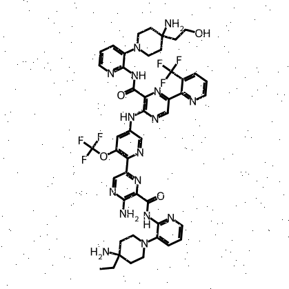 CCC1(N)CCN(c2cccnc2NC(=O)c2nc(-c3ncc(Nc4ncc(-c5ncccc5C(F)(F)F)nc4C(=O)Nc4ncccc4N4CCC(N)(CCO)CC4)cc3OC(F)(F)F)cnc2N)CC1